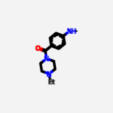 CCN1CCN(C(=O)c2ccc([NH])cc2)CC1